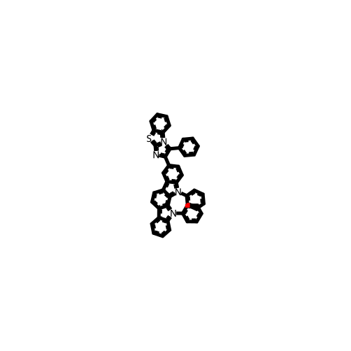 c1ccc(-c2c(-c3ccc4c(c3)c3ccc5c6ccccc6n(-c6ccccc6)c5c3n4-c3ccccc3)nc3sc4ccccc4n23)cc1